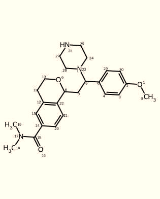 COc1ccc(C(CC2OCCc3cc(C(=O)N(C)C)ccc32)N2CCNCC2)cc1